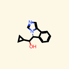 O[C@@H](C1CC1)[C@H]1c2ccccc2-c2cncn21